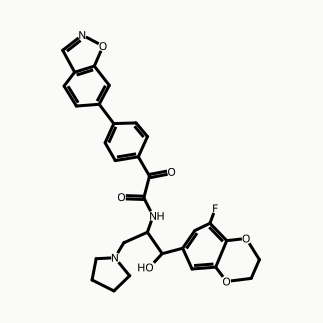 O=C(NC(CN1CCCC1)C(O)c1cc(F)c2c(c1)OCCO2)C(=O)c1ccc(-c2ccc3cnoc3c2)cc1